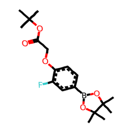 CC(C)(C)OC(=O)COc1ccc(B2OC(C)(C)C(C)(C)O2)cc1F